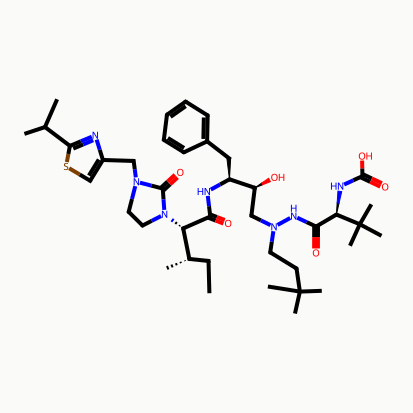 CC[C@H](C)[C@@H](C(=O)N[C@@H](Cc1ccccc1)[C@@H](O)CN(CCC(C)(C)C)NC(=O)[C@@H](NC(=O)O)C(C)(C)C)N1CCN(Cc2csc(C(C)C)n2)C1=O